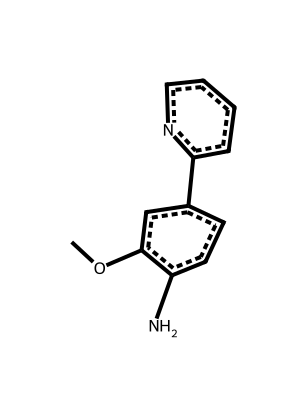 COc1cc(-c2ccccn2)ccc1N